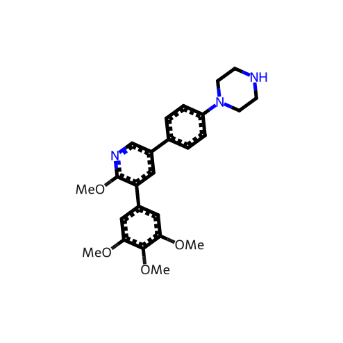 COc1cc(-c2cc(-c3ccc(N4CCNCC4)cc3)cnc2OC)cc(OC)c1OC